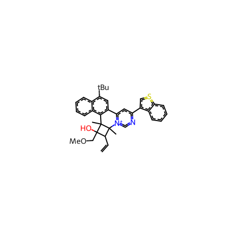 C=CC1C(O)(COC)C2(C)c3c(cc(C(C)(C)C)c4ccccc34)-c3cc(-c4csc5ccccc45)nc[n+]3C12C